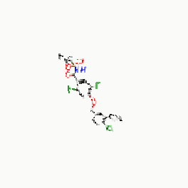 CS(=O)(=O)NC(=O)c1cc(F)c(OCc2ccc(Cl)c(C#N)c2)cc1F